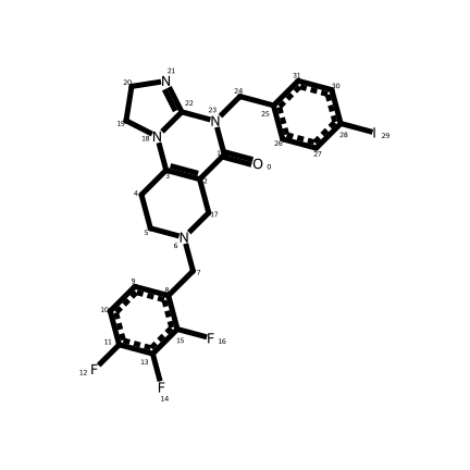 O=C1C2=C(CCN(Cc3ccc(F)c(F)c3F)C2)N2CCN=C2N1Cc1ccc(I)cc1